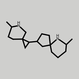 CC1CCC2(CN1)CC2C1CCC2(CCCC(C)N2)C1